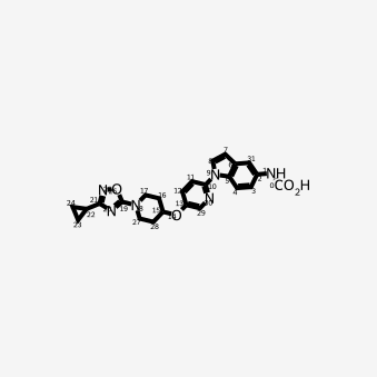 O=C(O)Nc1ccc2c(ccn2-c2ccc(OC3CCN(c4nc(C5CC5)no4)CC3)cn2)c1